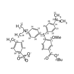 COc1cc(C(=O)OC(C)(C)C)ccc1[S+](c1ccc(N(C)C)cc1)c1ccc(N(C)C)cc1.Cc1ccc(S(=O)(=O)[O-])cc1